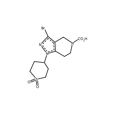 O=C(O)N1CCc2c(c(Br)nn2C2CCS(=O)(=O)CC2)C1